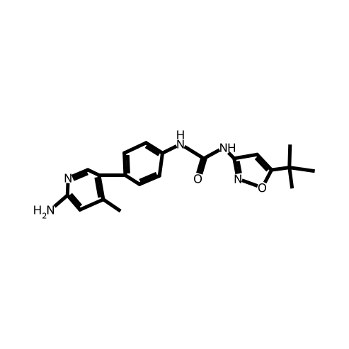 Cc1cc(N)ncc1-c1ccc(NC(=O)Nc2cc(C(C)(C)C)on2)cc1